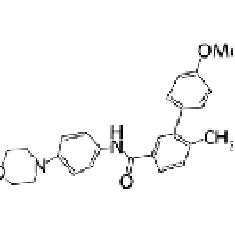 COc1ccc(-c2cc(C(=O)Nc3ccc(N4CCOCC4)cc3)ccc2C)cc1